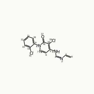 C=C/N=C\Nc1cnn(-c2ccccc2Cl)c(=O)c1Cl